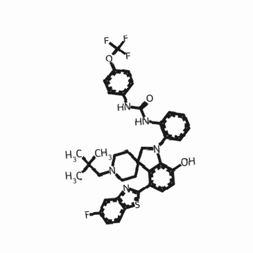 CC(C)(C)CN1CCC2(CC1)CN(c1ccccc1NC(=O)Nc1ccc(OC(F)(F)F)cc1)c1c(O)ccc(-c3nc4cc(F)ccc4s3)c12